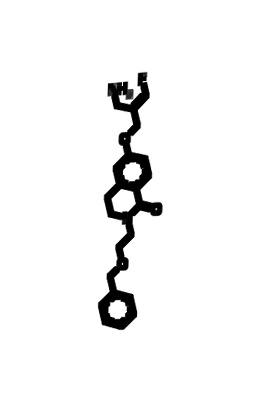 NC/C(=C\F)COc1ccc2c(c1)CCN(CCOCc1ccccc1)C2=O